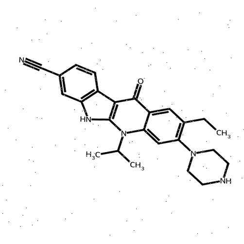 CCc1cc2c(=O)c3c4ccc(C#N)cc4[nH]c3n(C(C)C)c2cc1N1CCNCC1